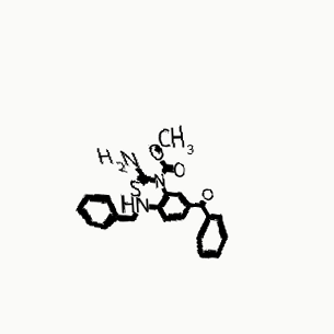 COC(=O)N(C(N)=S)c1cc(C(=O)c2ccccc2)ccc1NCc1ccccc1